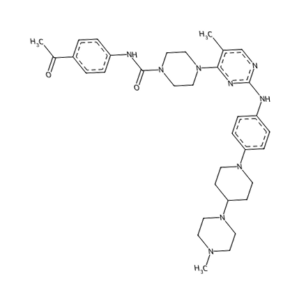 CC(=O)c1ccc(NC(=O)N2CCN(c3nc(Nc4ccc(N5CCC(N6CCN(C)CC6)CC5)cc4)ncc3C)CC2)cc1